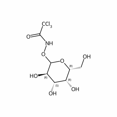 O=C(NOC1O[C@H](CO)[C@H](O)[C@H](O)[C@H]1O)C(Cl)(Cl)Cl